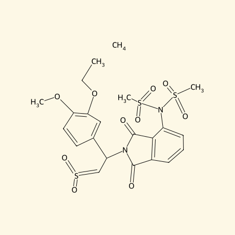 C.CCOc1cc(C(C=S(=O)=O)N2C(=O)c3cccc(N(S(C)(=O)=O)S(C)(=O)=O)c3C2=O)ccc1OC